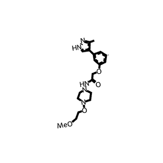 COCCON1CCN(NC(=O)COc2c[c]cc(-c3c[nH]nc3C)c2)CC1